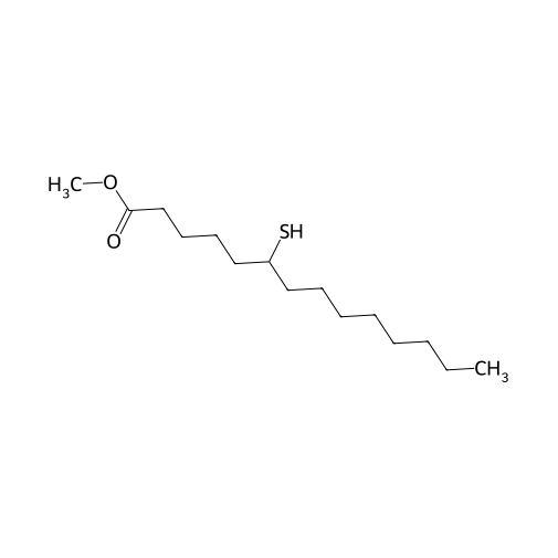 CCCCCCCCC(S)CCCCC(=O)OC